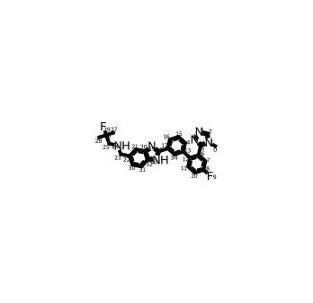 Cn1cnnc1-c1cc(F)ccc1-c1cccc(-c2nc3cc(CNCC(C)(C)F)ccc3[nH]2)c1